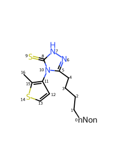 CCCCCCCCCCCCCc1n[nH]c(=S)n1-c1ccsc1C